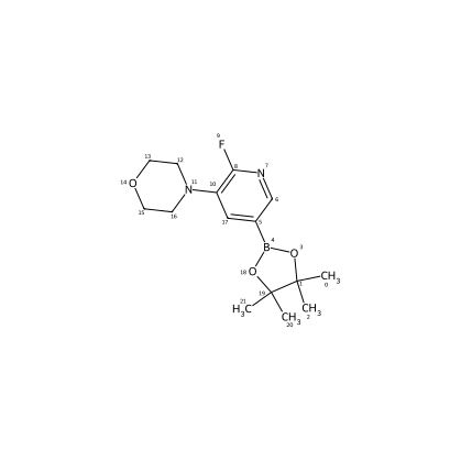 CC1(C)OB(c2cnc(F)c(N3CCOCC3)c2)OC1(C)C